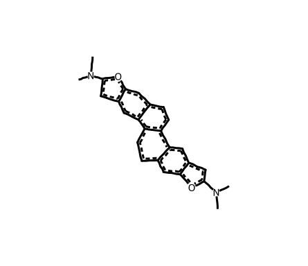 CN(C)c1cc2cc3c(ccc4c5cc6cc(N(C)C)oc6cc5ccc34)cc2o1